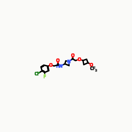 O=C(COc1ccc(Cl)c(F)c1)NC1CN(C(=O)COC2CC(OC(F)(F)F)C2)C1